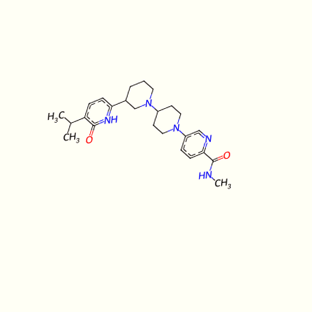 CNC(=O)c1ccc(N2CCC(N3CCCC(c4ccc(C(C)C)c(=O)[nH]4)C3)CC2)cn1